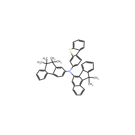 CC1(C)c2ccccc2-c2c(N(c3ccc4c(c3)C(C)(C)C(C)(C)c3ccccc3-4)c3ccc4c(c3)sc3ccccc34)cc3ccccc3c21